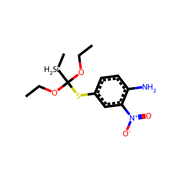 CCOC(OCC)([SiH2]C)Sc1ccc(N)c([N+](=O)[O-])c1